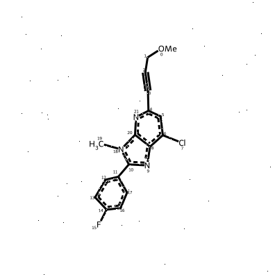 COCC#Cc1cc(Cl)c2nc(-c3ccc(F)cc3)n(C)c2n1